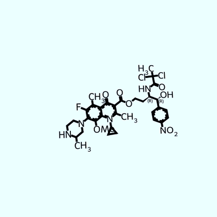 COc1c(N2CCNC(C)C2)c(F)c(C)c2c(=O)c(C(=O)OCC[C@@H](NC(=O)C(C)(Cl)Cl)[C@H](O)c3ccc([N+](=O)[O-])cc3)c(C)n(C3CC3)c12